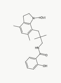 CCCCCCCCN1CCc2c(C)cc(C)c(CC(C)(C)CNC(=O)c3ccccc3O)c21